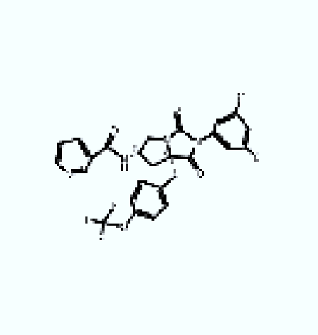 O=C(N[C@@H]1CN2C(=O)N(c3cc(Cl)cc(Cl)c3)C(=O)[C@@]2(Cc2ccc(OC(F)(F)F)cc2)C1)c1cccnc1